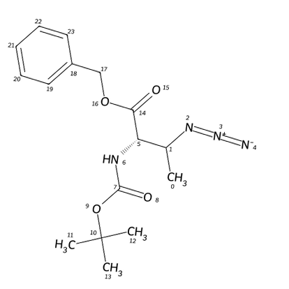 CC(N=[N+]=[N-])[C@H](NC(=O)OC(C)(C)C)C(=O)OCc1ccccc1